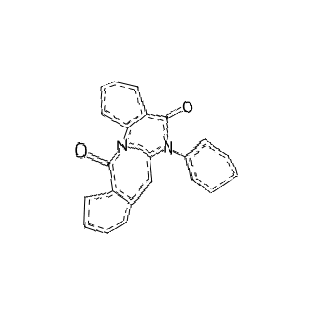 O=c1c2ccccc2n2c(=O)c3ccccc3cc2n1-c1ccccc1